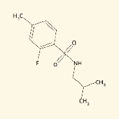 Cc1ccc(S(=O)(=O)NCC(C)C)c(F)c1